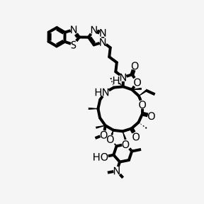 CC[C@H]1OC(=O)[C@H](C)C(=O)[C@@H](C)[C@@H](O[C@@H]2OC(C)CC(N(C)C)C2O)[C@](C)(OC)C[C@@H](C)CN[C@H](C)[C@H]2N(CCCCn3cc(-c4nc5ccccc5s4)nn3)C(=O)O[C@]12C